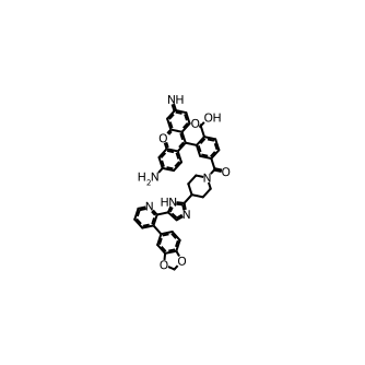 N=c1ccc2c(-c3cc(C(=O)N4CCC(c5ncc(-c6ncccc6-c6ccc7c(c6)OCO7)[nH]5)CC4)ccc3C(=O)O)c3ccc(N)cc3oc-2c1